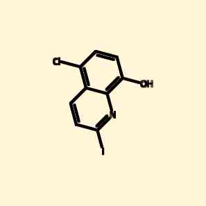 Oc1ccc(Cl)c2ccc(I)nc12